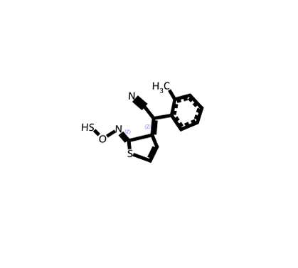 Cc1ccccc1/C(C#N)=C1\C=CS\C1=N/OS